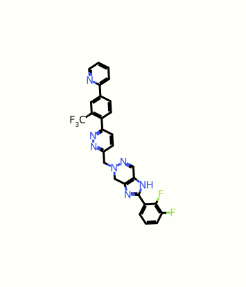 Fc1cccc(-c2nc3c([nH]2)C=NN(Cc2ccc(-c4ccc(-c5ccccn5)cc4C(F)(F)F)nn2)C3)c1F